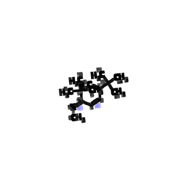 C=C(/C=C\C(=N/C)C(C)(C)C)C(C)(C)C